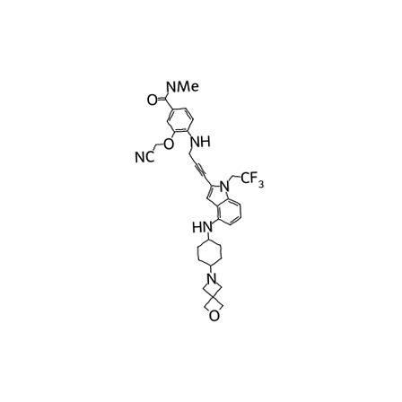 CNC(=O)c1ccc(NCC#Cc2cc3c(NC4CCC(N5CC6(COC6)C5)CC4)cccc3n2CC(F)(F)F)c(OCC#N)c1